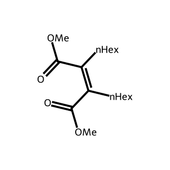 CCCCCC/C(C(=O)OC)=C(\CCCCCC)C(=O)OC